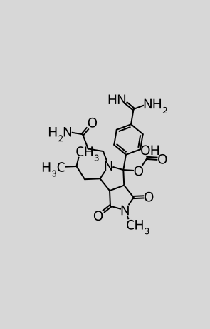 CC(C)CC1C2C(=O)N(C)C(=O)C2C(OC(=O)O)(c2ccc(C(=N)N)cc2)N1CCC(N)=O